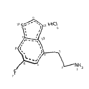 Cl.NCCc1cc(F)cc2sccc12